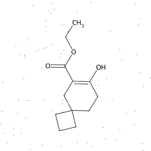 CCOC(=O)C1=C(O)CCC2(CCC2)C1